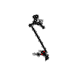 CN(CCOCCOCCOCCOCCOCCOCCOCCOCCCN1CCC[C@H]1COc1nc2c(c(N3CCN(C(=O)OCC[Si](C)(C)C)[C@@H](CC#N)C3)n1)CCN(c1cccc3cccc(Cl)c13)C2)C(=O)N1N=C(c2cc(F)ccc2F)S[C@@]1(CCCNC(=O)OC(C)(C)C)c1ccccc1